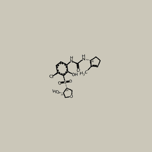 CC1=CCC[C@H]1NC(=O)Nc1ccc(Cl)c(S(=O)(=O)[C@@H]2COC[C@@H]2O)c1O